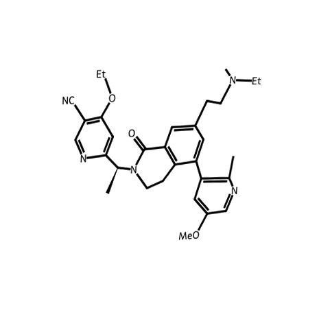 CCOc1cc([C@H](C)N2CCc3c(cc(CCN(C)CC)cc3-c3cc(OC)cnc3C)C2=O)ncc1C#N